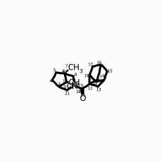 CC1(C)C2CC[C@]1(C)CN(C(=O)C13CC4CC(CC1C4)C3)C2